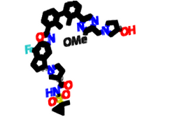 COc1nc(-c2cccc(-c3cccc(-c4nc5cc6c(c(F)c5o4)CC[C@H]6N4CC[C@@H](C(=O)NS(=O)(=O)C5(C)CC5)C4)c3C)c2C)cnc1CN1CC[C@@H](O)C1